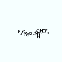 O=C(Nc1ccc(C(F)(F)F)nc1)N1CCC(Cc2cccc(Oc3ccc(C(F)(F)F)cn3)c2)CC1